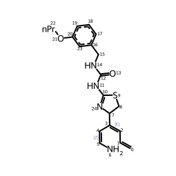 C=C/C=C(\C=C/N)C1CSC(NC(=O)NCc2cccc(OCCC)c2)=N1